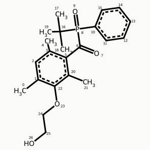 Cc1cc(C)c(C(=O)P(=O)(c2ccccc2)C(C)(C)C)c(C)c1OCCO